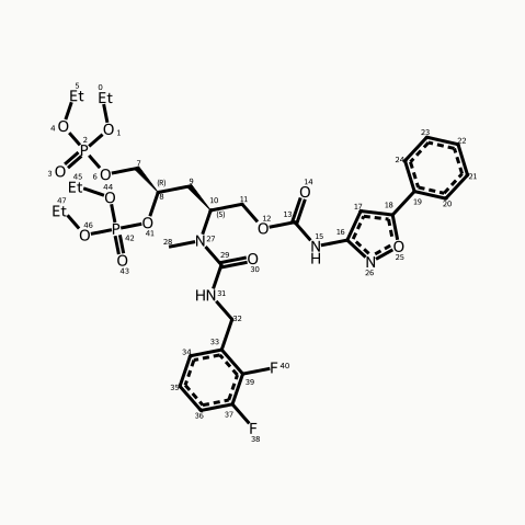 CCOP(=O)(OCC)OC[C@@H](C[C@@H](COC(=O)Nc1cc(-c2ccccc2)on1)N(C)C(=O)NCc1cccc(F)c1F)OP(=O)(OCC)OCC